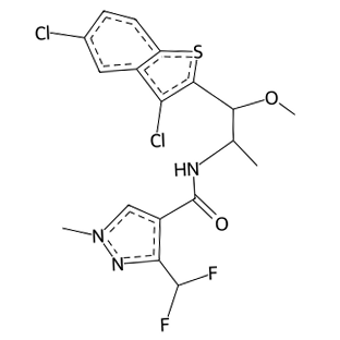 COC(c1sc2ccc(Cl)cc2c1Cl)C(C)NC(=O)c1cn(C)nc1C(F)F